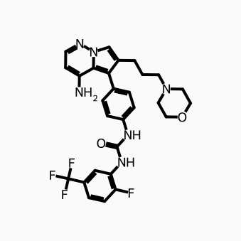 Nc1ccnn2cc(CCCN3CCOCC3)c(-c3ccc(NC(=O)Nc4cc(C(F)(F)F)ccc4F)cc3)c12